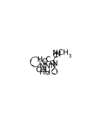 C=C1/C=C\C=C/CCCC[C@H]1NC(=O)Nc1c(C)c(-c2cnn(C)c2)nn1-c1ccccc1